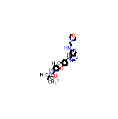 CCC(C)(C)NC(=O)c1cccc(Oc2ccc(Nc3ncnc4cnc(NCCN5CCOCC5)cc34)cc2C)c1